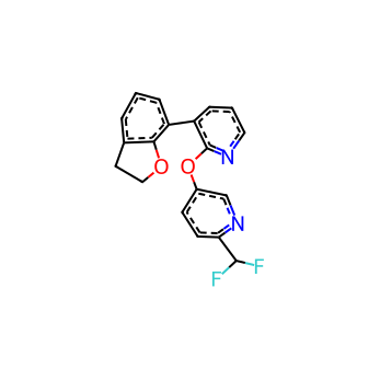 FC(F)c1ccc(Oc2ncccc2-c2cccc3c2OCC3)cn1